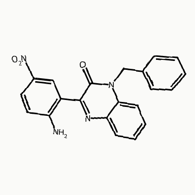 Nc1ccc([N+](=O)[O-])cc1-c1nc2ccccc2n(Cc2ccccc2)c1=O